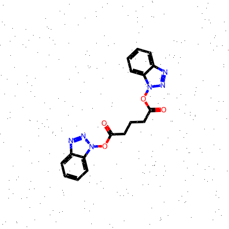 O=C(CCCC(=O)On1nnc2ccccc21)On1nnc2ccccc21